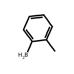 Bc1ccccc1C